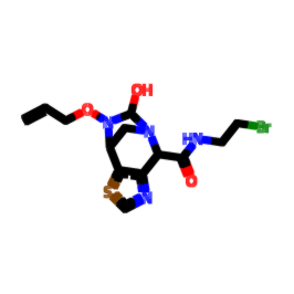 C=CCON1C2CN(C(C(=O)NCCBr)c3ncsc32)C1O